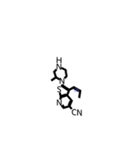 C/C=C\c1c(N2CCNCC2C)sc2ncc(C#N)cc12